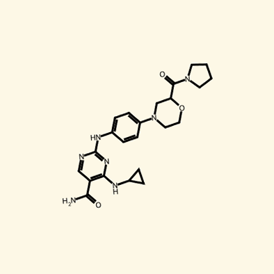 NC(=O)c1cnc(Nc2ccc(N3CCOC(C(=O)N4CCCC4)C3)cc2)nc1NC1CC1